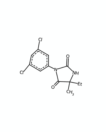 CCC1(C)NC(=O)N(c2cc(Cl)cc(Cl)c2)C1=O